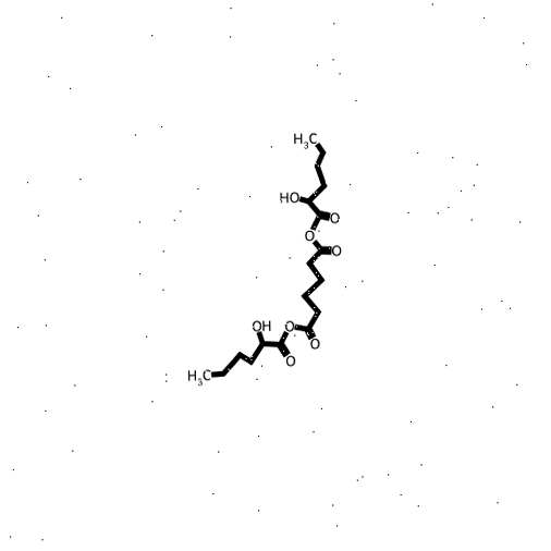 CCCCC(O)C(=O)OC(=O)CCCCC(=O)OC(=O)C(O)CCCC